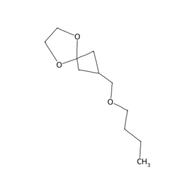 CCCCOCC1CC2(C1)OCCO2